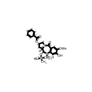 COc1cc2c(cc1O)N(C(=O)O)[C@@H](O[Si](C)(C)C(C)(C)C)[C@@H]1C[C@H](OC(=O)c3ccccc3)CN1C2=O